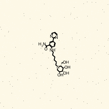 NC(=O)c1cc(-c2ncccn2)ccc1NCCCCCCN1C[C@H](O)[C@@H](O)[C@H](O)[C@H]1CO